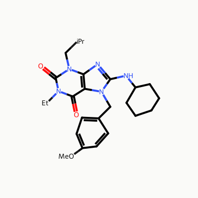 CCn1c(=O)c2c(nc(NC3CCCCC3)n2Cc2ccc(OC)cc2)n(CC(C)C)c1=O